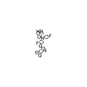 COc1cc2nccc(Oc3ccc(N(C(=O)C4CCNC4=O)c4ccc(F)cc4)cc3F)c2cc1OC